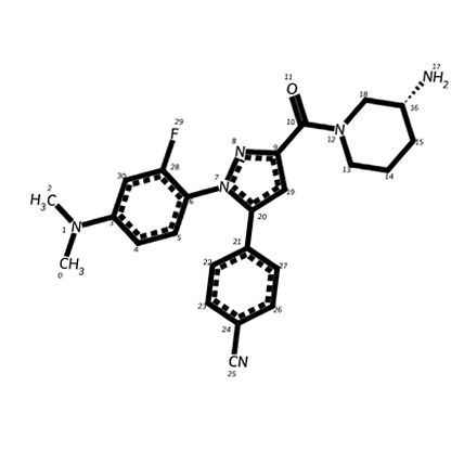 CN(C)c1ccc(-n2nc(C(=O)N3CCC[C@@H](N)C3)cc2-c2ccc(C#N)cc2)c(F)c1